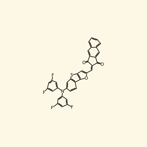 O=C1C(=Cc2cc3sc4cc(N(c5cc(F)cc(F)c5)c5cc(F)cc(F)c5)ccc4c3o2)C(=O)c2cc3ccccc3cc21